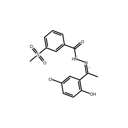 C/C(=N/NC(=O)c1cccc(S(C)(=O)=O)c1)c1cc(Cl)ccc1O